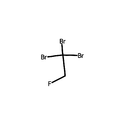 FCC(Br)(Br)Br